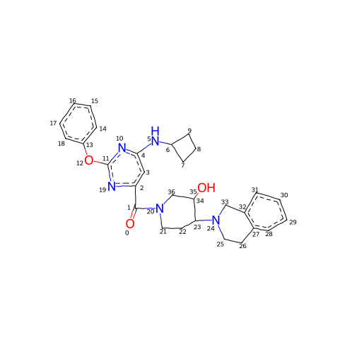 O=C(c1cc(NC2CCC2)nc(Oc2ccccc2)n1)N1CCC(N2CCc3ccccc3C2)C(O)C1